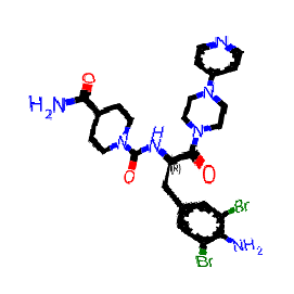 NC(=O)C1CCN(C(=O)N[C@H](Cc2cc(Br)c(N)c(Br)c2)C(=O)N2CCN(c3ccncc3)CC2)CC1